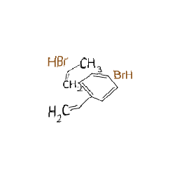 Br.Br.C=CC.C=Cc1ccccc1